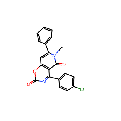 Cn1c(-c2ccccc2)cc2oc(=O)nc(-c3ccc(Cl)cc3)c2c1=O